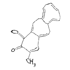 CC1=Cc2cc3ccccc3cc2C(=O)C1=O